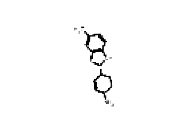 Cc1ccc2c(c1)S[C@H](C1C=CC(N)CC1)N2